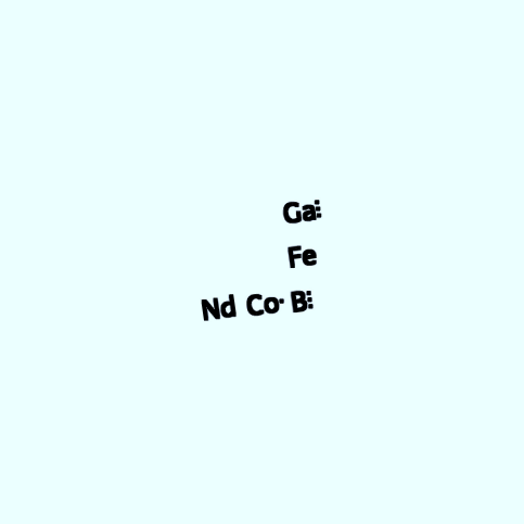 [B].[Co].[Fe].[Ga].[Nd]